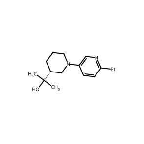 CCc1ccc(N2CCC[C@@H](C(C)(C)O)C2)cn1